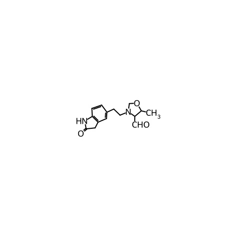 CC1OCN(CCc2ccc3c(c2)CC(=O)N3)C1C=O